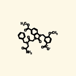 COC(=O)c1ccc2c(c1)n(CC(=O)N(CC(N)=O)Cc1ccccc1)c(=O)n2Cc1cc([N+](=O)[O-])ccc1OC